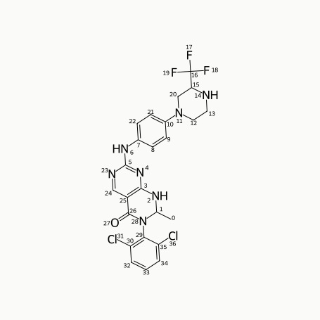 CC1Nc2nc(Nc3ccc(N4CCNC(C(F)(F)F)C4)cc3)ncc2C(=O)N1c1c(Cl)cccc1Cl